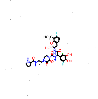 O=C(O)c1c(F)ccc2c1OB(O)C(NC(=O)C(NC(=O)N1CCN(CCNC(=O)C3CCCN3)C(=O)C1=O)c1cc(F)c(O)c(O)c1Cl)C2